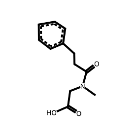 CN(CC(=O)O)C(=O)CCc1ccccc1